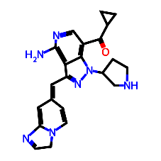 Nc1ncc(C(=O)C2CC2)c2c1c(C=C1C=CN3CC=NC3=C1)nn2C1CCNC1